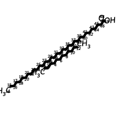 CC=CCCCCCCCCCCC.CCCCCCCCCCCCCCCCCCCCCCCCCCCCCCCCCC(=O)O